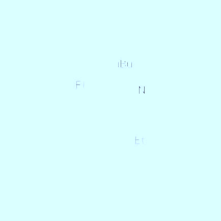 C/C=C(CC)\C(CC)=N/C(C)CC